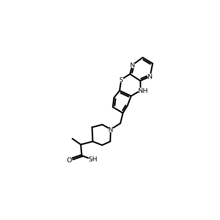 CC(C(=O)S)C1CCN(Cc2ccc3c(c2)Nc2nccnc2S3)CC1